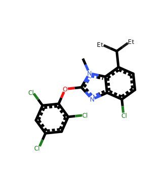 CCC(CC)c1ccc(Cl)c2nc(Oc3c(Cl)cc(Cl)cc3Cl)n(C)c12